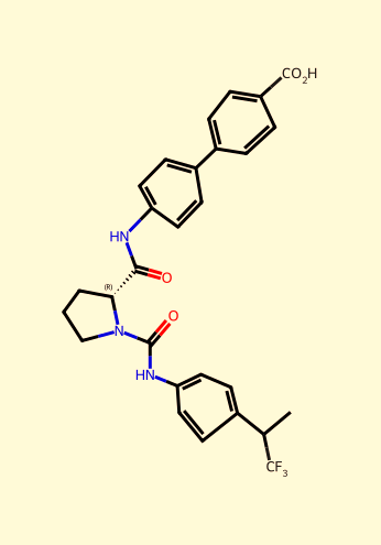 CC(c1ccc(NC(=O)N2CCC[C@@H]2C(=O)Nc2ccc(-c3ccc(C(=O)O)cc3)cc2)cc1)C(F)(F)F